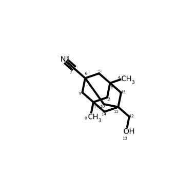 CC12CC3(C)CC(C#N)(C1)CC(CO)(C2)C3